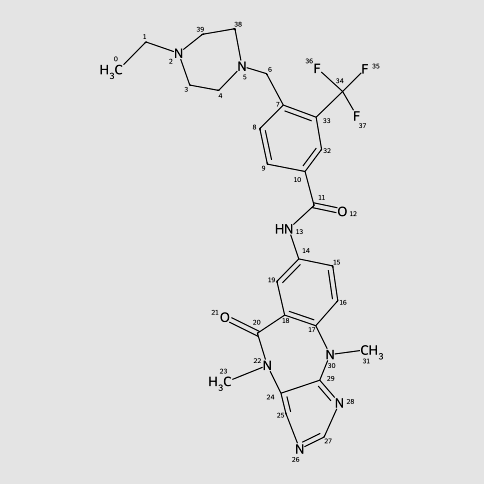 CCN1CCN(Cc2ccc(C(=O)Nc3ccc4c(c3)C(=O)N(C)c3cncnc3N4C)cc2C(F)(F)F)CC1